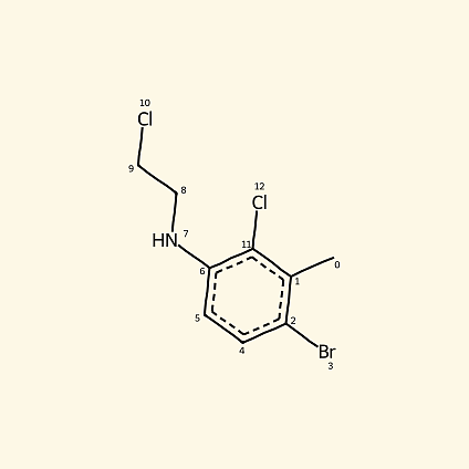 Cc1c(Br)ccc(NCCCl)c1Cl